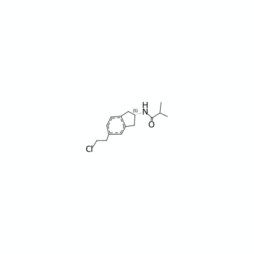 CC(C)C(=O)N[C@H]1Cc2ccc(CCCl)cc2C1